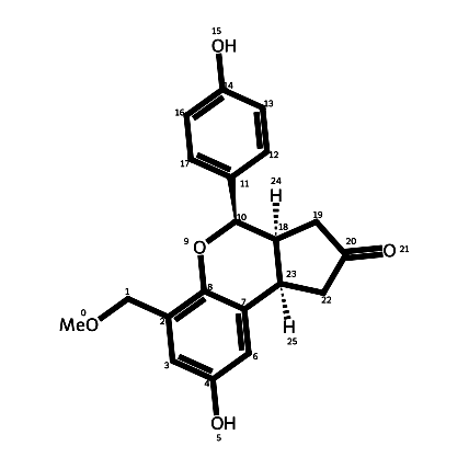 COCc1cc(O)cc2c1O[C@@H](c1ccc(O)cc1)[C@H]1CC(=O)C[C@@H]21